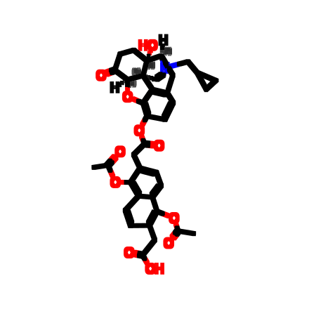 CC(=O)Oc1c(CC(=O)O)ccc2c(OC(C)=O)c(CC(=O)Oc3ccc4c5c3O[C@H]3C(=O)CC[C@@]6(O)[C@@H](C4)N(CC4CC4)C=C[C@]536)ccc12